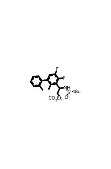 CCOC(=O)CC(N[S@+]([O-])C(C)(C)C)c1c(C)c(-c2ccccc2C)cc(F)c1F